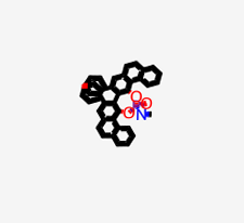 C=NP1(=O)Oc2c(c(-c3ccccc3)cc3ccc4ccccc4c23)-c2c(-c3ccccc3)cc3ccc4ccccc4c3c2O1